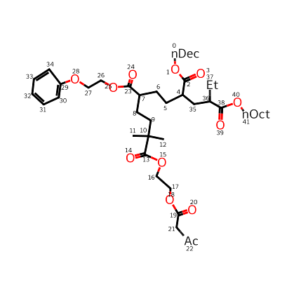 CCCCCCCCCCOC(=O)C(CCC(CCC(C)(C)C(=O)OCCOC(=O)CC(C)=O)C(=O)OCCOc1ccccc1)CC(CC)C(=O)OCCCCCCCC